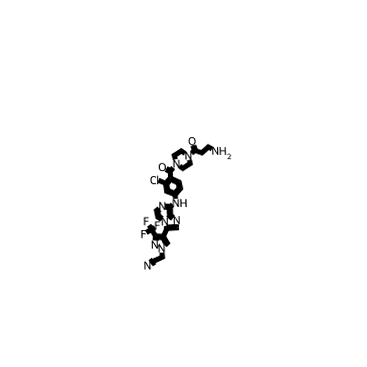 N#CCn1cc(-c2cnc3c(Nc4ccc(C(=O)N5CCN(C(=O)CCN)CC5)c(Cl)c4)nccn23)c(C(F)(F)F)n1